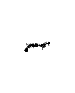 CC(=O)OCOC(=O)C[C@@H]1C[C@@H](COc2ccc(-c3ccc(C(=N)NC(=O)OCc4ccccc4)cc3)cc2)NC1=O